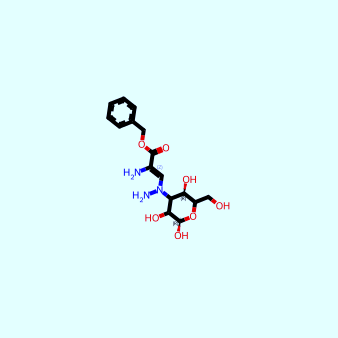 N/C(=C\N(N)C1C(O)[C@H](O)OC(CO)[C@@H]1O)C(=O)OCc1ccccc1